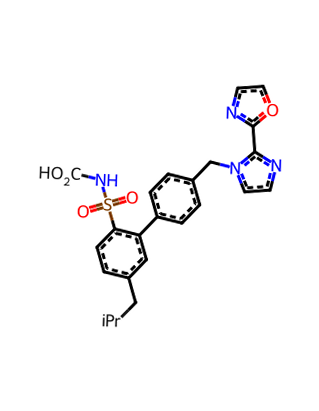 CC(C)Cc1ccc(S(=O)(=O)NC(=O)O)c(-c2ccc(Cn3ccnc3-c3ncco3)cc2)c1